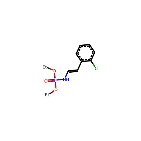 CCOP(=O)(NC=Cc1ccccc1Cl)OCC